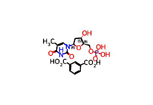 Cc1cn([C@H]2C[C@H](O)[C@@H](COP(=O)(O)O)O2)c(=O)[nH]c1=O.O=C(O)c1cccc(C(=O)O)c1